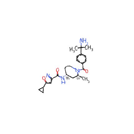 C[C@H]1C[C@H](NC(=O)c2cc(C3CC3)on2)CCN1C(=O)c1ccc(C(C)(C)N)cc1